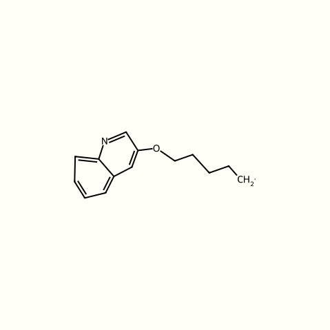 [CH2]CCCCOc1cnc2ccccc2c1